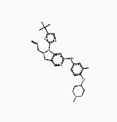 C=CCN1Cc2cnc(Nc3ccc(OC4CCN(C)CC4)c(C)c3)nc2N1c1nc(C(C)(C)C)cs1